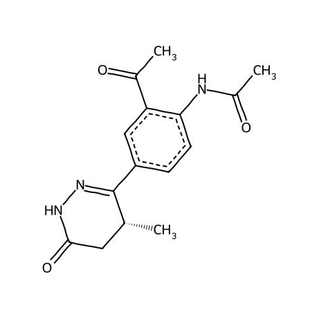 CC(=O)Nc1ccc(C2=NNC(=O)C[C@H]2C)cc1C(C)=O